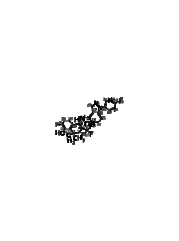 CC1(C)C[C@](O)(C(F)(F)F)[C@@H](Nc2cccc3c2cnn3-c2ccc(F)nc2)c2ccc(F)c(O)c21